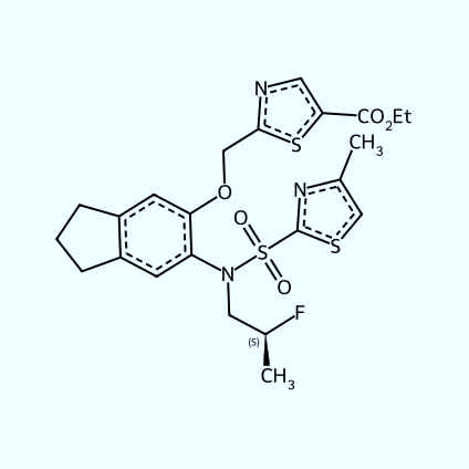 CCOC(=O)c1cnc(COc2cc3c(cc2N(C[C@H](C)F)S(=O)(=O)c2nc(C)cs2)CCC3)s1